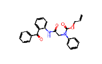 C=CCOC(=O)N(CC(=O)Nc1ccccc1C(=O)c1ccccc1)c1ccccc1